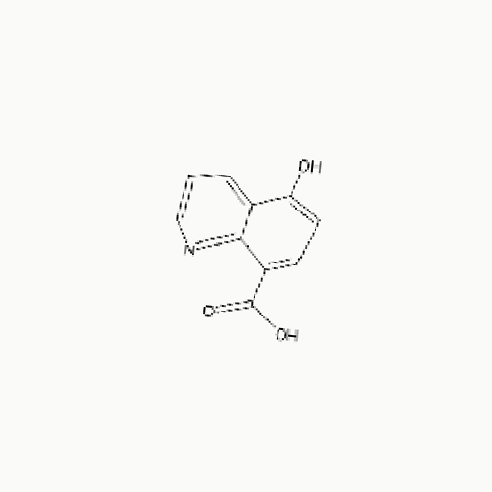 O=C(O)c1ccc(O)c2cccnc12